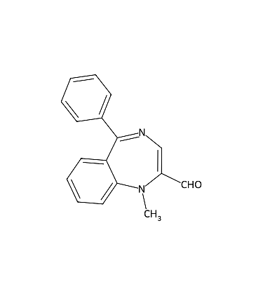 CN1C(C=O)=CN=C(c2ccccc2)c2ccccc21